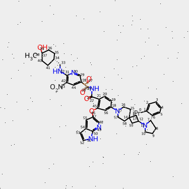 CC(C)c1ccccc1[C@@H]1CCCN1C1CC2(CCN(c3ccc(C(=O)NS(=O)(=O)c4cnc(NC[C@H]5CC[C@](C)(O)CC5)c([N+](=O)[O-])c4)c(Oc4cnc5[nH]ccc5c4)c3)CC2)C1